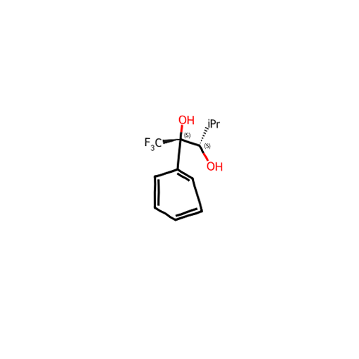 CC(C)[C@H](O)[C@@](O)(c1ccccc1)C(F)(F)F